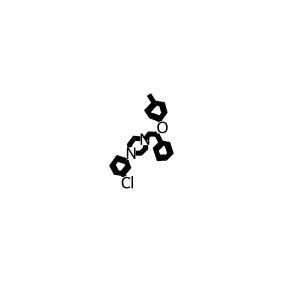 Cc1ccc(OC(CN2CCN(c3cccc(Cl)c3)CC2)c2ccccc2)cc1